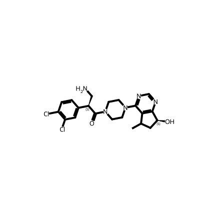 CC1C[C@H](O)c2ncnc(N3CCN(C(=O)[C@H](CN)c4ccc(Cl)c(Cl)c4)CC3)c21